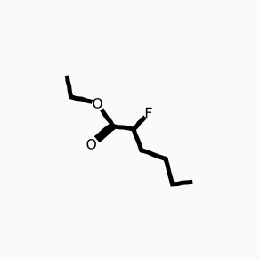 CCCCC(F)C(=O)OCC